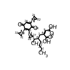 CCCCC(CC)C/C(=C/C(=O)O)C(=O)O.O=C1C=C(N2CC2)C(=O)C(N2CC2)=C1N1CC1